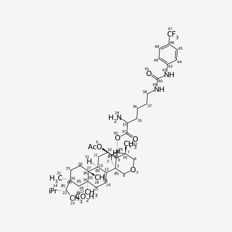 CC(=O)O[C@@H]1C[C@@]23COC[C@](C)([C@@H]2CC[C@H]2C3=CC[C@@]3(C)[C@H](C(=O)O)[C@@](C)([C@H](C)C(C)C)CC[C@]23C)[C@H]1OC(=O)C(N)CCCCNC(=O)Nc1ccc(C(F)(F)F)cc1